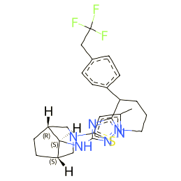 Cc1cc(N2C[C@H]3CC[C@@H](C2)[C@@H]3Nc2nc3n(n2)CCCC3c2ccc(CC(F)(F)F)cc2)sn1